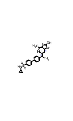 CC(C)=c1nc(O)[nH]/c1=C/C(Cl)=C(\C)c1ccc(-c2ccc(S(=O)(=O)NC3CC3)cc2)cc1